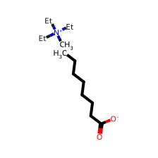 CCCCCCCC(=O)[O-].CC[N+](C)(CC)CC